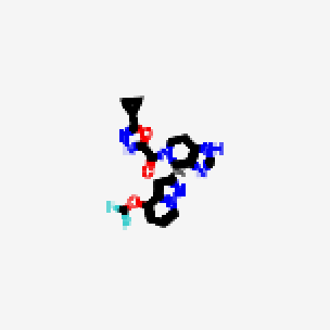 O=C(c1nnc(C2CC2)o1)N1CCc2[nH]cnc2[C@@H]1c1cc2c(OC(F)F)cccn2n1